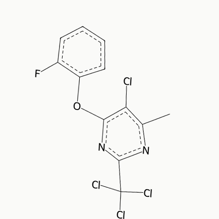 Cc1nc(C(Cl)(Cl)Cl)nc(Oc2ccccc2F)c1Cl